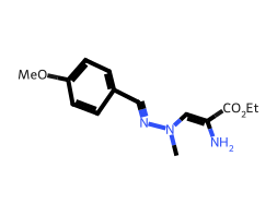 CCOC(=O)/C(N)=C/N(C)/N=C/c1ccc(OC)cc1